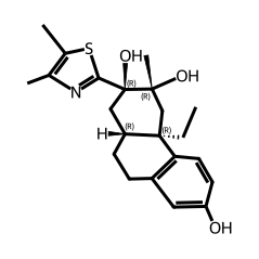 CC[C@@]12C[C@@](C)(O)[C@@](O)(c3nc(C)c(C)s3)C[C@H]1CCc1cc(O)ccc12